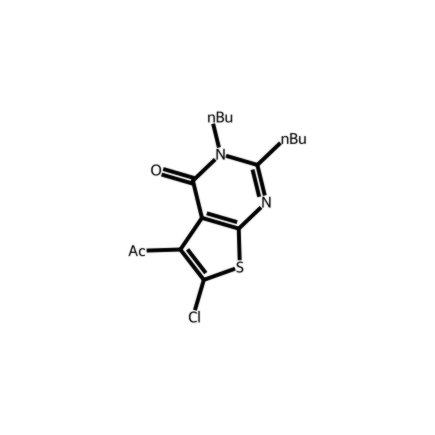 CCCCc1nc2sc(Cl)c(C(C)=O)c2c(=O)n1CCCC